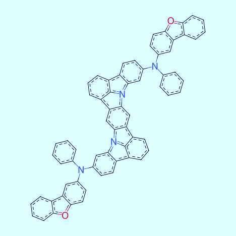 c1ccc(N(c2ccc3oc4ccccc4c3c2)c2ccc3c4cccc5c6cc7c(cc6n(c3c2)c45)c2cccc3c4ccc(N(c5ccccc5)c5ccc6oc8ccccc8c6c5)cc4n7c32)cc1